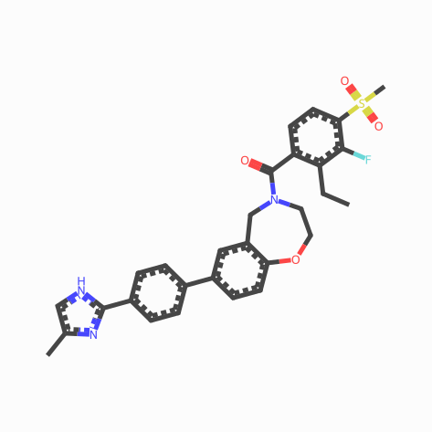 CCc1c(C(=O)N2CCOc3ccc(-c4ccc(-c5nc(C)c[nH]5)cc4)cc3C2)ccc(S(C)(=O)=O)c1F